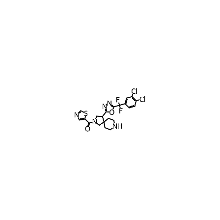 O=C(c1cncs1)N1CC(c2nnc(C(F)(F)c3ccc(Cl)c(Cl)c3)o2)C2(CCNCC2)C1